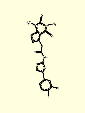 Cn1c(=O)c2c(CC(=O)Nc3nc(-c4ccc(F)c(Br)c4)cs3)coc2n(C)c1=O